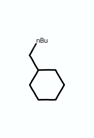 [CH2]CCCCC1CCCCC1